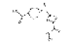 CC(=O)N1CCN(C(=O)c2ccc(C(=O)NO)s2)CC1